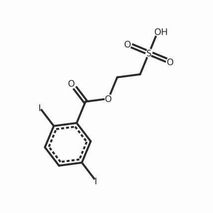 O=C(OCCS(=O)(=O)O)c1cc(I)ccc1I